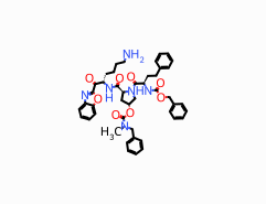 CN(Cc1ccccc1)C(=O)O[C@@H]1C[C@@H](C(=O)N[C@@H](CCCCN)C(=O)c2nc3ccccc3o2)N(C(=O)[C@@H](CCc2ccccc2)NC(=O)OCc2ccccc2)C1